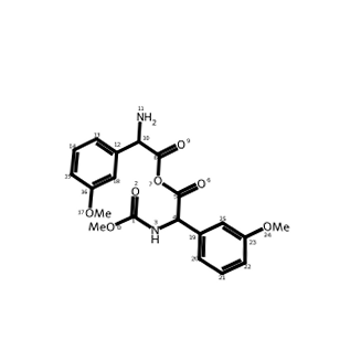 COC(=O)NC(C(=O)OC(=O)C(N)c1cccc(OC)c1)c1cccc(OC)c1